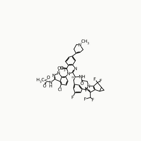 CN1CC=C(c2ccc3c(=O)n(-c4ccc(Cl)c5c(NS(C)(=O)=O)nn(C)c45)c([C@H](Cc4cc(F)cc(F)c4)NC(=O)Cn4nc(C(F)F)c5c4C(F)(F)C4CC54)nc3c2)CC1